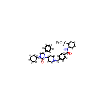 CCOC(=O)[C@H]1CCCC[C@@H]1NC(=O)c1ccc(CN2CCC(N3C(=O)N(C4CCCCC4)C[C@H]3c3ccccc3)CC2)cc1